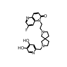 O=c1ccc2ncc(F)cc2n1CCN1CCC2(CCN(Cc3cc(O)c(O)cn3)C2)C1